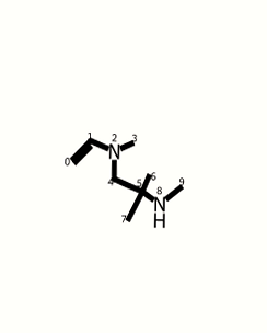 C=CN(C)CC(C)(C)NC